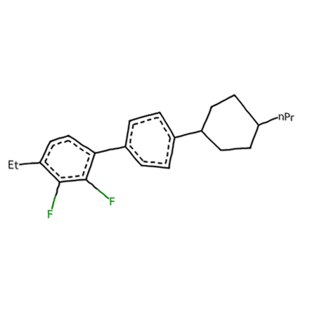 CCCC1CCC(c2ccc(-c3ccc(CC)c(F)c3F)cc2)CC1